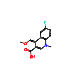 CO/C=C1\C(C(=O)O)=CN(C)c2ccc(F)cc21